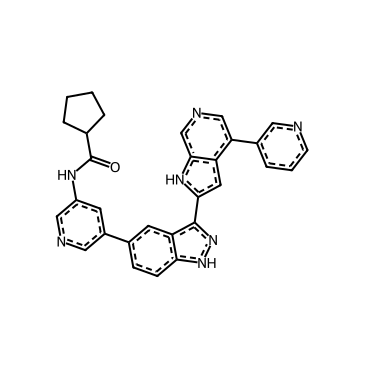 O=C(Nc1cncc(-c2ccc3[nH]nc(-c4cc5c(-c6cccnc6)cncc5[nH]4)c3c2)c1)C1CCCC1